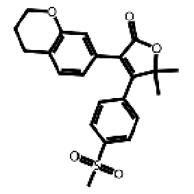 CC1(C)OC(=O)C(c2ccc3c(c2)OCCC3)=C1c1ccc(S(C)(=O)=O)cc1